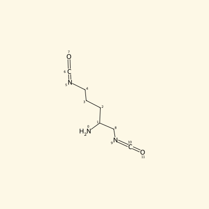 NC(CCCN=C=O)CN=C=O